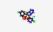 CC(c1ncnc(Cl)c1F)C(Cn1cncn1)(c1ccc(F)cc1F)[PH](O)(O)O